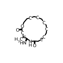 CN1CC(=O)OCCCCCCCCCCCCCC(=O)NC1=N